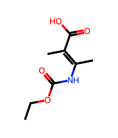 CCOC(=O)NC(C)=C(C)C(=O)O